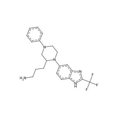 NCCCC1CN(c2ccccc2)CCN1c1ccc2[nH]c(C(F)(F)F)nc2c1